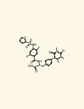 Cc1c(-c2ccc(C[C@H](NC(=O)c3cc(F)c(NS(=O)(=O)c4ccco4)cc3F)C(=O)O)cc2)c(=O)n(C)c(=O)n1C